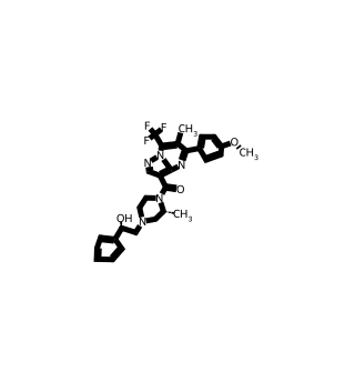 COc1ccc(-c2nc3c(C(=O)N4CCN(C[C@@H](O)c5ccccc5)C[C@H]4C)cnn3c(C(F)(F)F)c2C)cc1